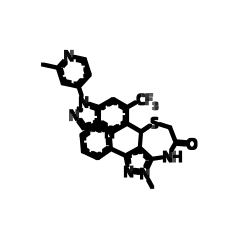 Cc1cc(-n2ncc3cc(C4SCC(=O)Nc5c4c(-c4ccccn4)nn5C)c(C(F)(F)F)cc32)ccn1